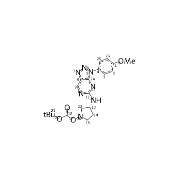 COc1ccc(-n2nnc3cnc(N[C@@H]4CCN(OC(=O)OC(C)(C)C)C4)nc32)cc1